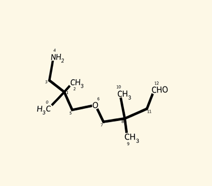 CC(C)(CN)COCC(C)(C)CC=O